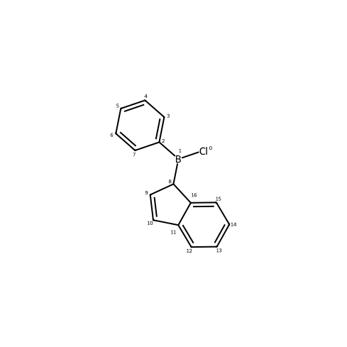 ClB(c1ccccc1)C1C=Cc2ccccc21